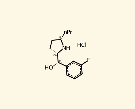 CCC[C@H]1CC[C@@H]([C@@H](O)c2cccc(F)c2)N1.Cl